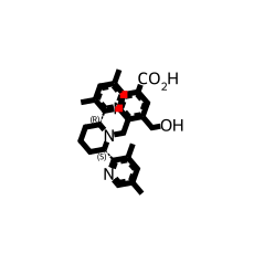 Cc1cnc([C@H]2CCC[C@@H](c3ncc(C)cc3C)N2Cc2ccc(C(=O)O)cc2CO)c(C)c1